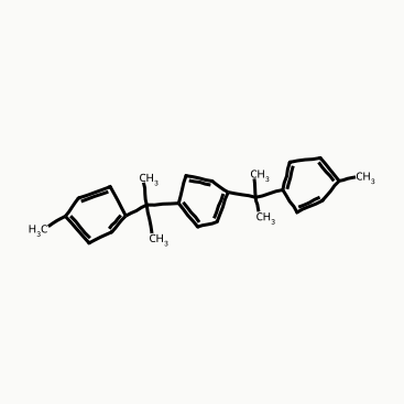 Cc1ccc(C(C)(C)c2ccc(C(C)(C)c3ccc(C)cc3)cc2)cc1